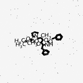 CC(CC(=O)C(Cc1ccccc1)NC(=O)OCc1ccccc1)C(=O)N1CCC[C@H]1C(=O)OC(C)(C)C